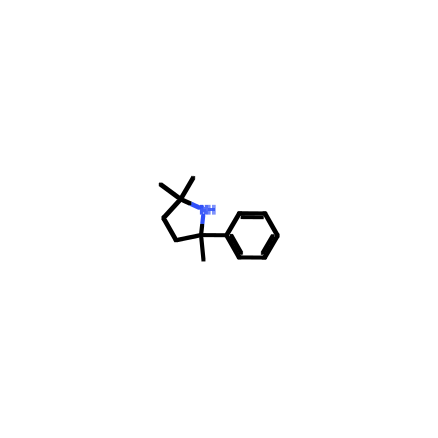 CC1(C)CCC(C)(c2ccccc2)N1